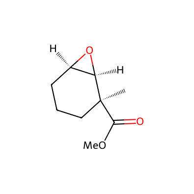 COC(=O)[C@@]1(C)CCC[C@H]2O[C@H]21